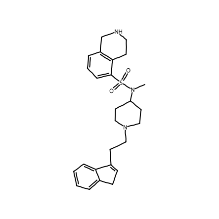 CN(C1CCN(CCC2=CCc3ccccc32)CC1)S(=O)(=O)c1cccc2c1CCNC2